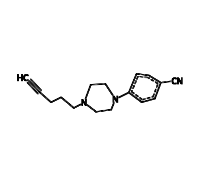 C#CCCCN1CCN(c2ccc(C#N)cc2)CC1